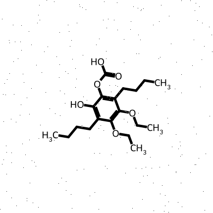 CCCCc1c(O)c(OC(=O)O)c(CCCC)c(OCC)c1OCC